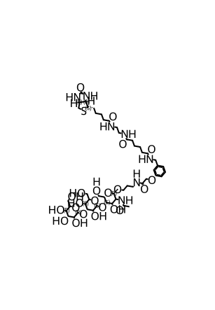 CC(=O)NC1C(O)[C@H](O[C@@H]2OC(CO)[C@H](O)C(O[C@H]3OC(CO)[C@H](O)C(O)C3O)C2O)C(CO)O[C@H]1OCCCNC(=O)COc1cccc(CNC(=O)CCCCC(=O)NCCNC(=O)CCCC[C@@H]2SC[C@@H]3NC(=O)N[C@@H]32)c1